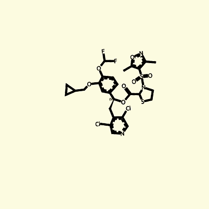 Cc1noc(C)c1S(=O)(=O)N1CCSC1C(=O)O[C@@H](Cc1c(Cl)cncc1Cl)c1ccc(OC(F)F)c(OCC2CC2)c1